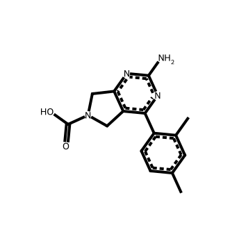 Cc1ccc(-c2nc(N)nc3c2CN(C(=O)O)C3)c(C)c1